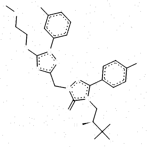 COCCNc1nc(Cn2nc(-c3ccc(Cl)cc3)n(C[C@H](O)C(F)(F)F)c2=O)nn1-c1cccc(F)c1